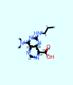 CCCNc1nc(N(C)C)c2ncnc(C(=O)O)c2n1